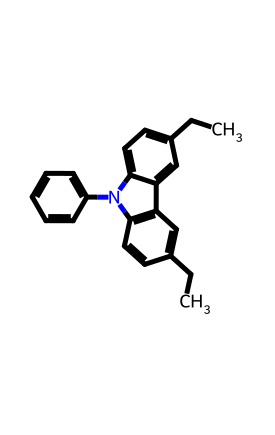 CCc1ccc2c(c1)c1cc(CC)ccc1n2-c1ccccc1